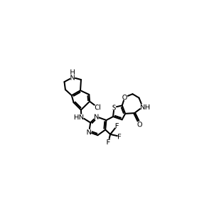 O=C1NCCOc2sc(-c3nc(Nc4cc5c(cc4Cl)CNCC5)ncc3C(F)(F)F)cc21